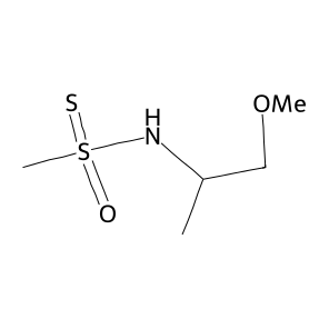 COCC(C)NS(C)(=O)=S